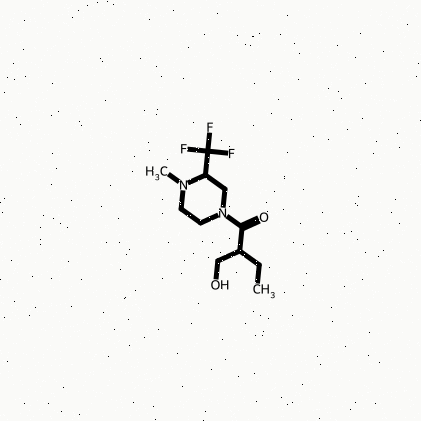 CCC(CO)C(=O)N1CCN(C)C(C(F)(F)F)C1